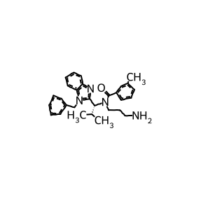 Cc1cccc(C(=O)N(CCCN)[C@@H](c2nc3ccccc3n2Cc2ccccc2)C(C)C)c1